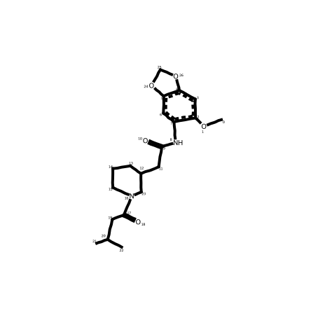 COc1cc2c(cc1NC(=O)CC1CCCN(C(=O)CC(C)C)C1)OCO2